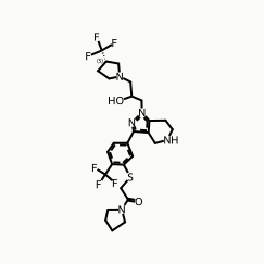 O=C(CSc1cc(-c2nn(CC(O)CN3CC[C@H](C(F)(F)F)C3)c3c2CNCC3)ccc1C(F)(F)F)N1CCCC1